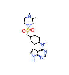 CC1CN(S(=O)(=O)CC2CCC(N(C)c3ncnc4[nH]ccc34)CC2)CCN1C